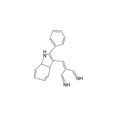 N=CC(C=N)=CC1=C(c2ccccc2)NC2C=CC=CC12